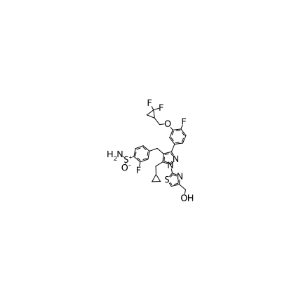 N[S+]([O-])c1ccc(Cc2c(-c3ccc(F)c(OCC4CC4(F)F)c3)nn(-c3nc(CO)cs3)c2CC2CC2)cc1F